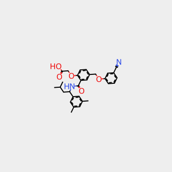 Cc1cc(C)cc(C(CC(C)C)NC(=O)c2cc(COc3cccc(C#N)c3)ccc2OCC(=O)O)c1